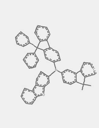 CC1(C)c2ccccc2-c2cc(N(c3ccc4c(c3)C(c3ccccc3)(c3ccccc3)c3ccccc3-4)c3ccc4c(c3)oc3ccccc34)ccc21